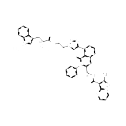 C[C@@H](NC(=O)c1c(N)nn2cccnc12)c1cc2cccc(-c3cn(CCOC(=O)[C@H](N)Cc4cn(C)c5ccccc45)nn3)c2c(=O)n1-c1ccccc1